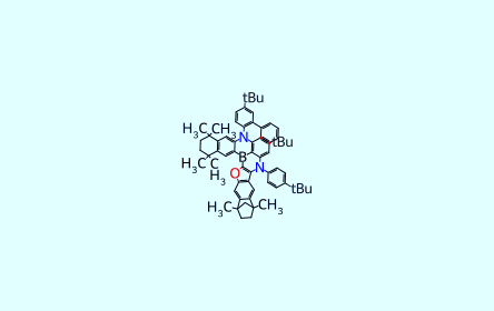 CC(C)(C)c1ccc(N2c3cc(C(C)(C)C)cc4c3B(c3cc5c(cc3N4c3ccc(C(C)(C)C)cc3-c3ccccc3)C(C)(C)CCC5(C)C)c3oc4cc5c(cc4c32)C2(C)CCC5(C)C2)cc1